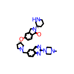 CN1CCN(c2ncc3cc(CN4CC[C@H](Oc5ccc6c(c5)CN([C@H]5CCCNC5)C6=O)C4)ccc3n2)CC1